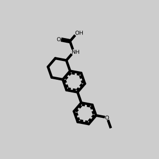 COc1cccc(-c2ccc3c(c2)CCCC3NC(=O)O)c1